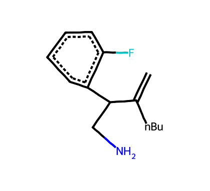 C=C(CCCC)C(CN)c1ccccc1F